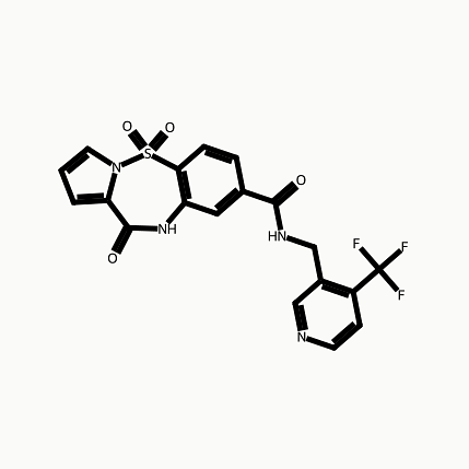 O=C(NCc1cnccc1C(F)(F)F)c1ccc2c(c1)NC(=O)c1cccn1S2(=O)=O